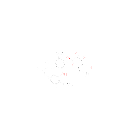 COc1ccc(C[C@H](C)[C@H](C)Cc2ccc(O[C@@H]3O[C@H](C(=O)O)[C@@H](O)[C@H](O)[C@H]3O)c(OC)c2)cc1O